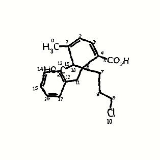 CC1=CC=C(C(=O)O)C(CCCCl)(Cc2ccccc2)C1C(=O)O